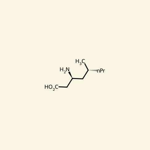 CCC[C@@H](C)C[C@H](N)CC(=O)O